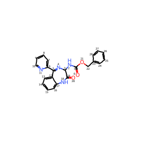 O=C(NC1N=C(c2ccccn2)c2ccccc2NC1=O)OCc1ccccc1